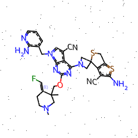 CN1CC/C(=C\F)C(C)(COc2nc(N3CC4(C3)SCc3sc(N)c(C#N)c34)c3c(C#N)cn(Cc4cccnc4N)c3n2)C1